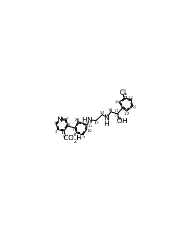 O=C(O)c1ccncc1-c1cccc(NCCNC[C@H](O)c2cccc(Cl)c2)c1